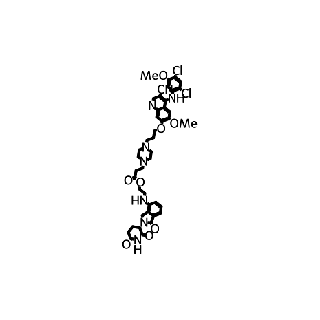 COc1cc(Nc2c(C#N)cnc3cc(OCCCN4CCN(CCC(=O)OCCNc5cccc6c5CN(C5CCC(=O)NC5=O)C6=O)CC4)c(OC)cc23)c(Cl)cc1Cl